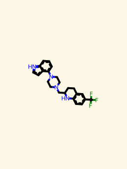 FC(F)(F)c1ccc2c(c1)CCC(CN1CCN(c3cccc4[nH]ccc34)CC1)N2